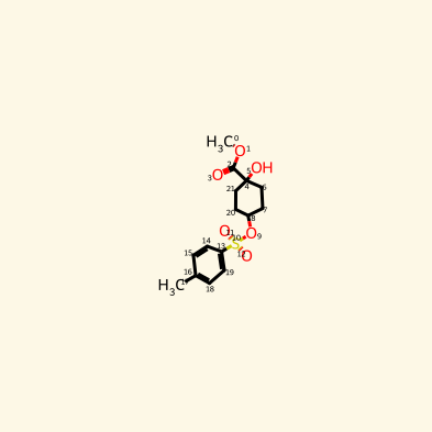 COC(=O)C1(O)CCC(OS(=O)(=O)c2ccc(C)cc2)CC1